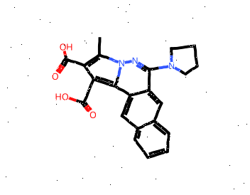 Cc1c(C(=O)O)c(C(=O)O)c2c3cc4ccccc4cc3c(N3CCCC3)nn12